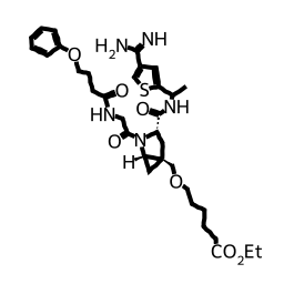 CCOC(=O)CCCCCOC[C@@]12C[C@@H]1N(C(=O)CNC(=O)CCCOc1ccccc1)[C@H](C(=O)NC(C)c1cc(C(=N)N)cs1)C2